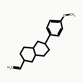 C=CC1CCC2CC(c3ccc(OC)cc3)CCC2C1